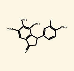 COc1ccc(C2CC(=O)c3cc(OC)c(OC)c(OC)c32)cc1I